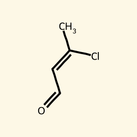 CC(Cl)=CC=O